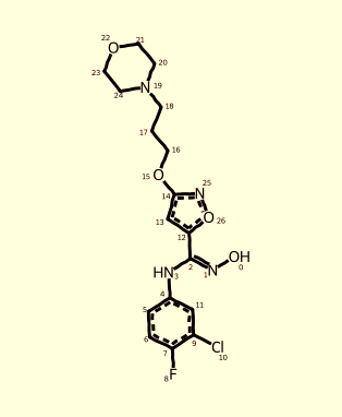 ON=C(Nc1ccc(F)c(Cl)c1)c1cc(OCCCN2CCOCC2)no1